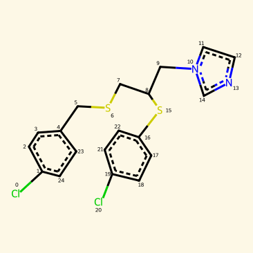 Clc1ccc(CSCC(Cn2ccnc2)Sc2ccc(Cl)cc2)cc1